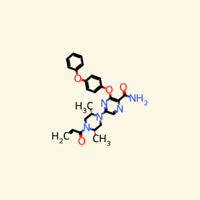 C=CC(=O)N1C[C@H](C)N(c2cnc(C(N)=O)c(Oc3ccc(Oc4ccccc4)cc3)n2)C[C@@H]1C